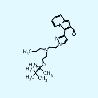 CCCN(CCO[Si](C)(C)C(C)(C)C)CCn1ccc(-c2c(C=O)cc3ccccn23)n1